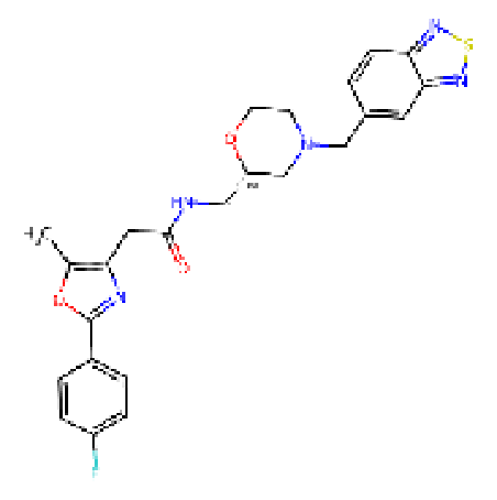 Cc1oc(-c2ccc(F)cc2)nc1CC(=O)NC[C@H]1CN(Cc2ccc3nsnc3c2)CCO1